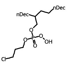 CCCCCCCCCCCCC(CCCCCCCCCC)COP(=O)(OO)OCCCCl